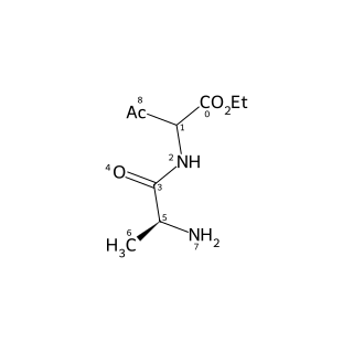 CCOC(=O)C(NC(=O)[C@H](C)N)C(C)=O